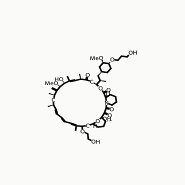 C=C1[C@H](C)C[C@H](C)/C=C/C=C/C=C(\C)C(OCCO)C[C@@H]2CC[C@@H](C)[C@@](O)(O2)C(=O)C(=O)N2CCCC[C@H]2C(=O)O[C@H]([C@H](C)C[C@@H]2CC[C@@H](OCCCO)[C@H](OC)C2)CC(=O)[C@H](C)/C=C(\C)[C@@H](O)[C@H]1OC